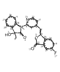 CC1(O)C(=O)N(c2cc(C=C3OC(=O)c4cc(F)ccc43)ccn2)c2ccccc21